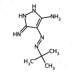 CC(C)(C)N=Nc1c(N)[nH][nH]c1=N